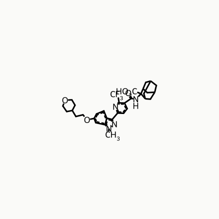 Cn1nc(-c2ccc(C(=O)NC3(C(=O)O)C4CC5CC(C4)CC3C5)c(C(F)(F)F)n2)c2ccc(OCCC3CCOCC3)cc21